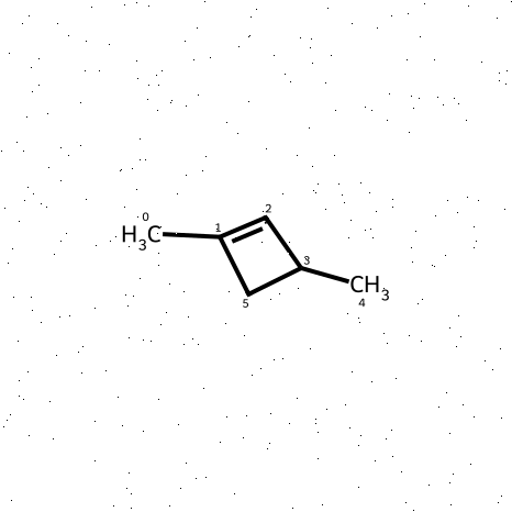 CC1=[C]C(C)C1